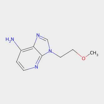 COCCn1cnc2c(N)ccnc21